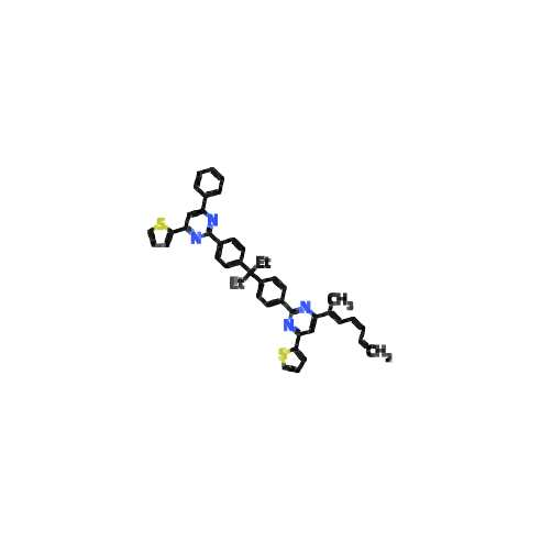 C=C/C=C\C=C(/C)c1cc(-c2cccs2)nc(-c2ccc(C(CC)(CC)c3ccc(-c4nc(-c5ccccc5)cc(-c5cccs5)n4)cc3)cc2)n1